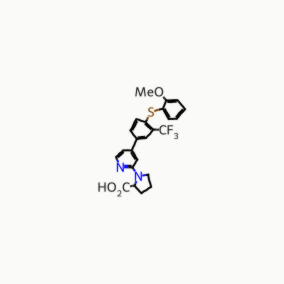 COc1ccccc1Sc1ccc(-c2ccnc(N3CCCC3C(=O)O)c2)cc1C(F)(F)F